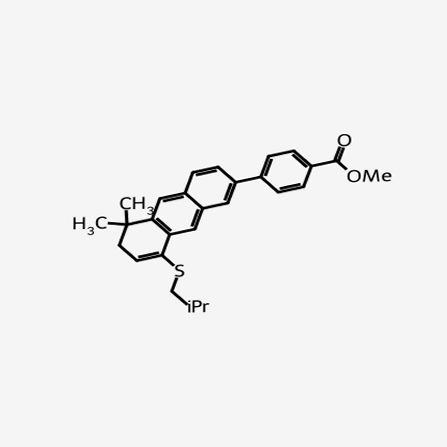 COC(=O)c1ccc(-c2ccc3cc4c(cc3c2)C(SCC(C)C)=CCC4(C)C)cc1